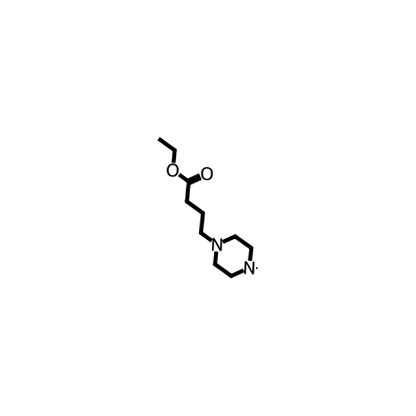 CCOC(=O)CCCN1CC[N]CC1